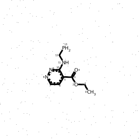 CCOC(=O)c1ccnnc1NCP